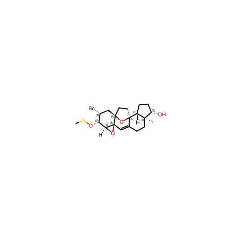 CSO[C@@H]1[C@H](Br)C[C@@]23CC[C@@]4(O2)C(=C[C@@]32O[C@@H]12)CC[C@@]1(C)[C@H]4CC[C@@H]1O